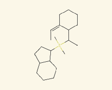 C/C=C1/CCCCC1C(C)S(C)(C)C1CCC2CCCCC21